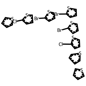 Brc1cccs1.Brc1cccs1.Brc1cccs1.Clc1cccs1.Clc1cccs1.c1ccsc1.c1ccsc1.c1ccsc1